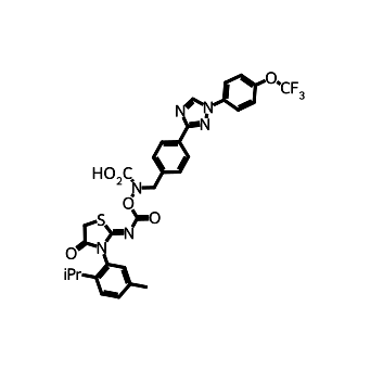 Cc1ccc(C(C)C)c(N2C(=O)CSC2=NC(=O)ON(Cc2ccc(-c3ncn(-c4ccc(OC(F)(F)F)cc4)n3)cc2)C(=O)O)c1